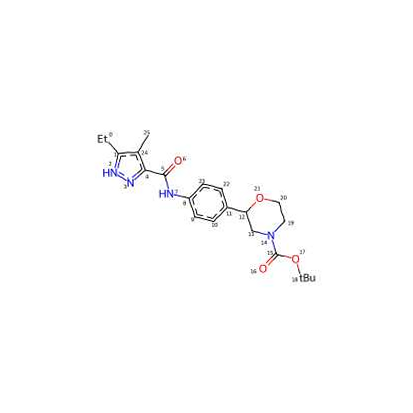 CCc1[nH]nc(C(=O)Nc2ccc(C3CN(C(=O)OC(C)(C)C)CCO3)cc2)c1C